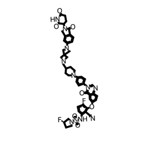 N#Cc1c(NS(=O)(=O)N2CC[C@@H](F)C2)ccc(F)c1Oc1ccc2ncn(-c3ccc(N4CCC(CN5CC6(C5)CN(c5ccc7c(c5)CN(C5CCC(=O)NC5=O)C7=O)C6)CC4)cc3)c(=O)c2c1